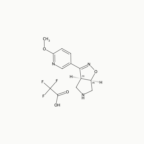 COc1ccc(C2=NO[C@H]3CNC[C@@H]23)cn1.O=C(O)C(F)(F)F